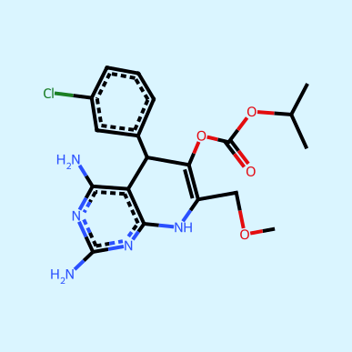 COCC1=C(OC(=O)OC(C)C)C(c2cccc(Cl)c2)c2c(N)nc(N)nc2N1